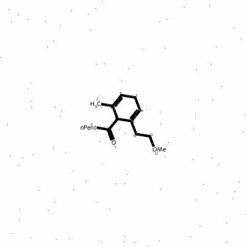 CCCCCC(=O)C1C(C)=CCC=C1CCOC